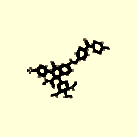 COC(=O)c1c(-c2cc(OC)c(OC)c(OC)c2)c2ccc(OCc3ccc(C(=O)N4CCN(C)CC4)cc3)cc2c(=O)n1-c1ccc(N)cc1